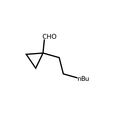 CCCCCCC1(C=O)CC1